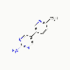 Nc1ncc(-c2ccc(C(=O)O)nc2)cn1